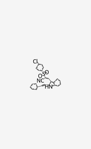 N#CC(=Cc1c(C#Cc2ccccc2)[nH]c2ccccc12)S(=O)(=O)c1ccc(Cl)cc1